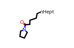 CCCCCCCCCCCC(=O)N1CCCC1